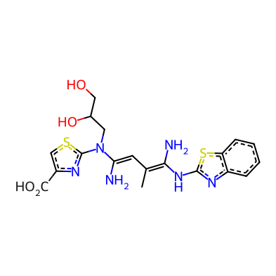 CC(/C=C(\N)N(CC(O)CO)c1nc(C(=O)O)cs1)=C(/N)Nc1nc2ccccc2s1